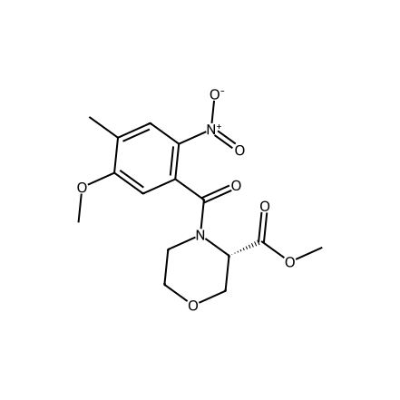 COC(=O)[C@@H]1COCCN1C(=O)c1cc(OC)c(C)cc1[N+](=O)[O-]